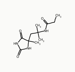 CCC(=O)NC(C)(C)CC1(C)NC(=O)NC1=O